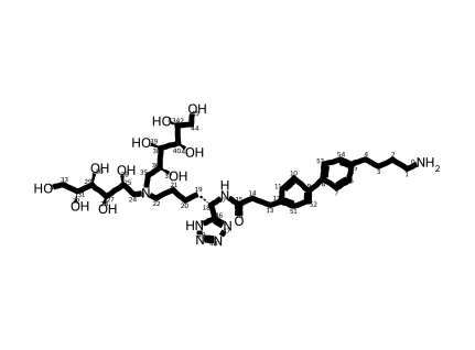 NCCCCc1ccc(-c2ccc(CCC(=O)N[C@@H](CCCCN(C[C@H](O)[C@@H](O)[C@H](O)[C@H](O)CO)C[C@H](O)[C@@H](O)[C@H](O)[C@H](O)CO)c3nnn[nH]3)cc2)cc1